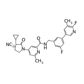 Cc1cc(N2CC[C@@](C#N)(C3CC3)C2=O)cc(C(=O)NCc2cc(F)cc(-c3cnc(F)c(C)c3)c2)n1